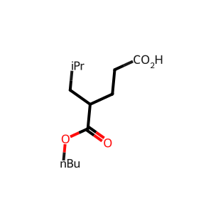 CCCCOC(=O)C(CCC(=O)O)CC(C)C